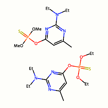 CCN(CC)c1nc(C)cc(OP(=S)(OC)OC)n1.CCOP(=S)(OCC)Oc1cc(C)nc(N(CC)CC)n1